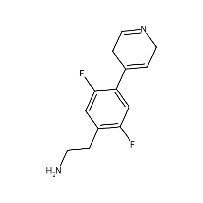 NCCc1cc(F)c(C2=CCN=CC2)cc1F